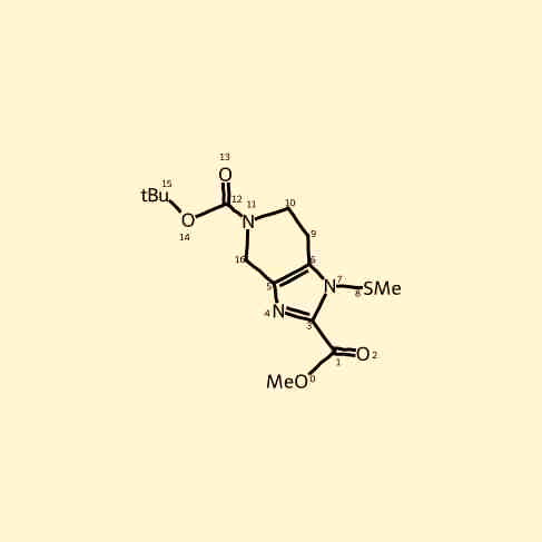 COC(=O)c1nc2c(n1SC)CCN(C(=O)OC(C)(C)C)C2